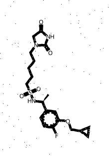 C[C@H](NS(=O)(=O)CCCCCN1CC(=O)NC1=O)c1ccc(F)c(OCC2CC2)c1